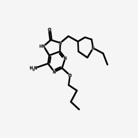 CCCCOc1nc(N)c2[nH]c(=O)n(CC3CCN(CC)CC3)c2n1